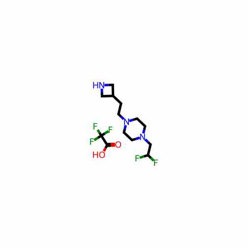 FC(F)CN1CCN(CCC2CNC2)CC1.O=C(O)C(F)(F)F